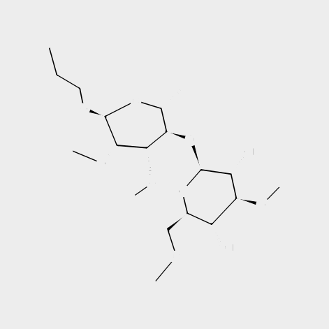 CCCO[C@H]1O[C@H](C)[C@@H](O[C@@H]2O[C@H](COC)[C@@H](O)[C@H](OC)[C@H]2O)[C@H](OC)[C@@H]1OC